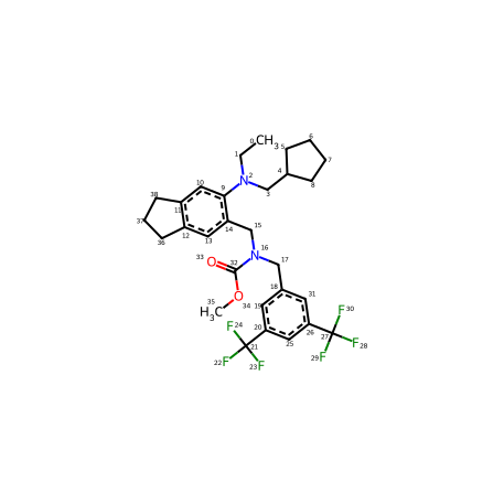 CCN(CC1CCCC1)c1cc2c(cc1CN(Cc1cc(C(F)(F)F)cc(C(F)(F)F)c1)C(=O)OC)CCC2